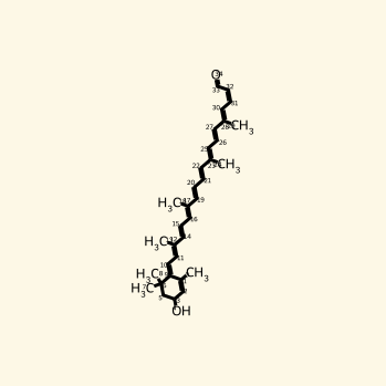 CC1=CC(O)CC(C)(C)/C1=C/C=C(C)/C=C/C=C(C)/C=C/C=C/C(C)=C/C=C/C(C)=C/C=C\C=O